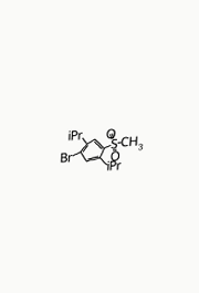 CC(C)c1cc(S(C)(=O)=O)c(C(C)C)cc1Br